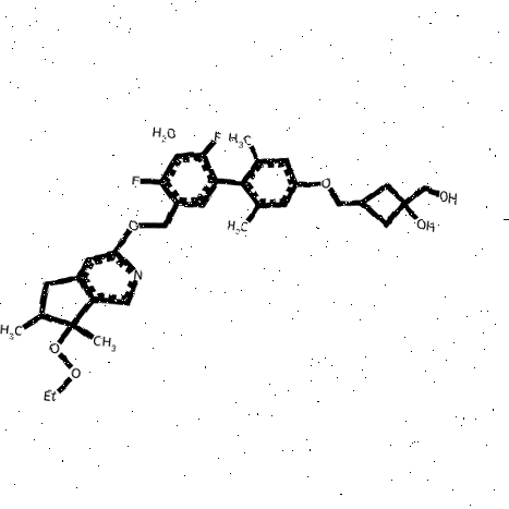 CCOOC1(C)c2cnc(OCc3cc(-c4c(C)cc(OCC5CC(O)(CO)C5)cc4C)c(F)cc3F)cc2CC1C.O